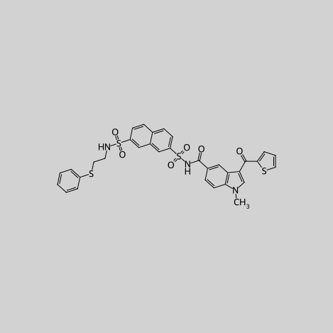 Cn1cc(C(=O)c2cccs2)c2cc(C(=O)NS(=O)(=O)c3ccc4ccc(S(=O)(=O)NCCSc5ccccc5)cc4c3)ccc21